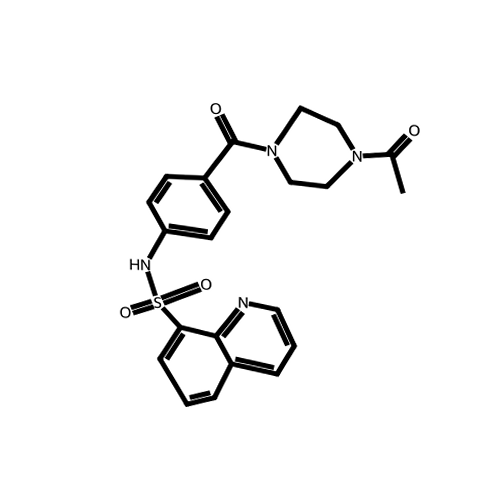 CC(=O)N1CCN(C(=O)c2ccc(NS(=O)(=O)c3cccc4cccnc34)cc2)CC1